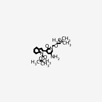 CC(C)(C)OC(=O)n1c(-c2cc(N)cn(COCC[Si](C)(C)C)c2=O)cc2ccccc21